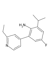 CCc1cc(-c2cc(F)cc(C(C)C)c2N)ccn1